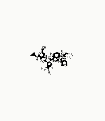 C#CCCC(NC(=O)[C@@H]1C2[C@H](CN1C(=O)[C@@H](NC(=O)NC1(CS(=O)(=O)C(C)(C)CC)CCCCC1)C1(C)CCCCC1)C2(C)C)C(=O)C(=O)NC1CC1